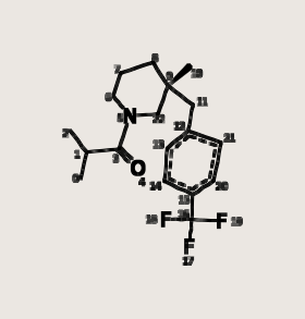 CC(C)C(=O)N1CCC[C@](C)(Cc2ccc(C(F)(F)F)cc2)C1